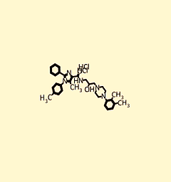 Cc1ccc(-n2c(-c3ccccc3)nc(C(=O)NCC(O)CN3CCN(c4cccc(C)c4C)CC3)c2C)cc1.Cl.Cl